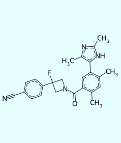 Cc1nc(C)c(-c2cc(C(=O)N3CC(F)(c4ccc(C#N)cc4)C3)c(C)cc2C)[nH]1